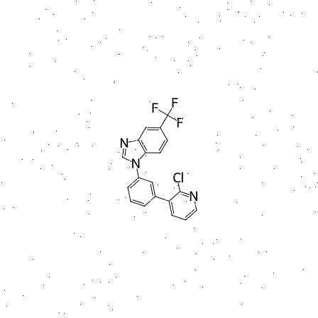 FC(F)(F)c1ccc2c(c1)ncn2-c1cccc(-c2cccnc2Cl)c1